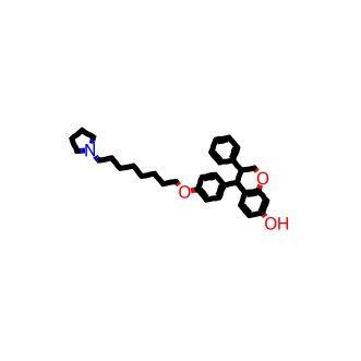 Oc1ccc2c(c1)OCC(c1ccccc1)C2c1ccc(OCCCCCCCCN2CCCC2)cc1